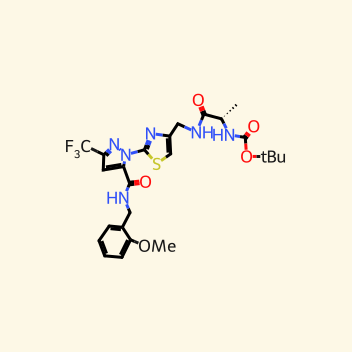 COc1ccccc1CNC(=O)c1cc(C(F)(F)F)nn1-c1nc(CNC(=O)[C@H](C)NC(=O)OC(C)(C)C)cs1